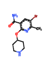 Cc1nc(OC2CCNCC2)c(C(N)=O)cc1Br